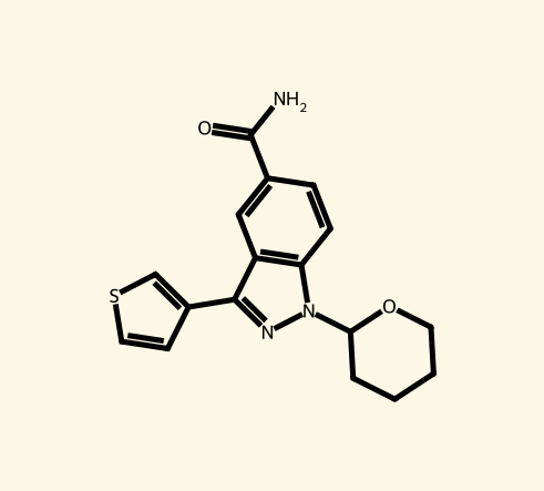 NC(=O)c1ccc2c(c1)c(-c1ccsc1)nn2C1CCCCO1